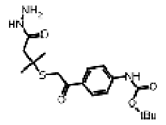 CC(C)(C)OC(=O)Nc1ccc(C(=O)CSC(C)(C)CC(=O)NN)cc1